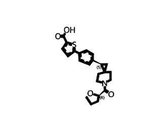 O=C(O)c1ccc(-c2ccc([C@H]3CC34CCN(C(=O)[C@H]3CCCO3)CC4)cc2)s1